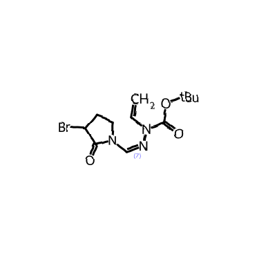 C=CN(/N=C\N1CCC(Br)C1=O)C(=O)OC(C)(C)C